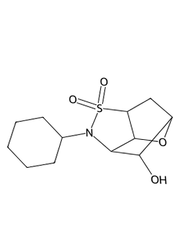 O=S1(=O)C2CC3OC2C(C3O)N1C1CCCCC1